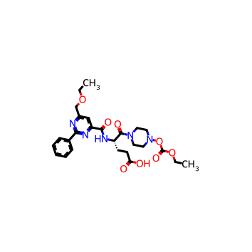 CCOCc1cc(C(=O)N[C@@H](CCC(=O)O)C(=O)N2CCN(OC(=O)OCC)CC2)nc(-c2ccccc2)n1